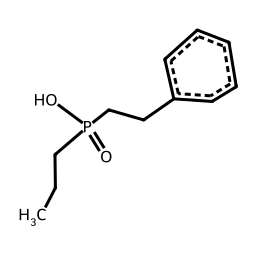 CCCP(=O)(O)CCc1ccccc1